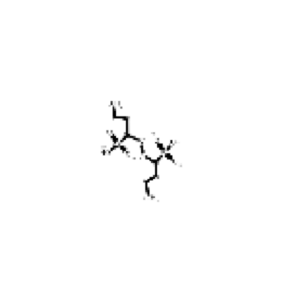 CCCC(SSC(CCC)S(=O)(=O)O)S(=O)(=O)O